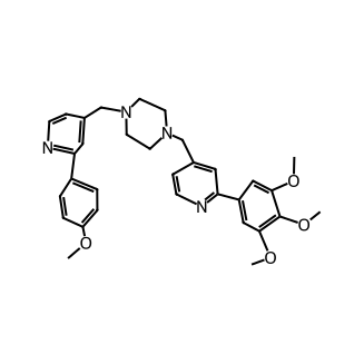 COc1ccc(-c2cc(CN3CCN(Cc4ccnc(-c5cc(OC)c(OC)c(OC)c5)c4)CC3)ccn2)cc1